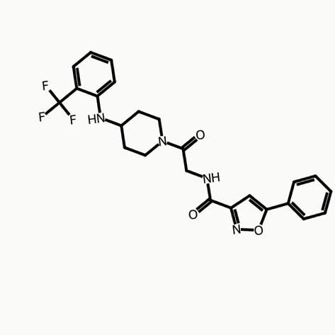 O=C(NCC(=O)N1CCC(Nc2ccccc2C(F)(F)F)CC1)c1cc(-c2ccccc2)on1